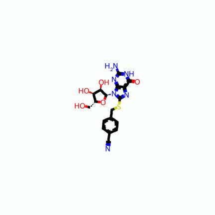 N#Cc1ccc(CSc2nc3c(=O)[nH]c(N)nc3n2[C@@H]2O[C@H](CO)[C@@H](O)[C@H]2O)cc1